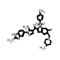 Cc1ccc(S(=O)(=O)n2c(C(=O)c3cnn(-c4ccc5[nH]c(C)nc5c4)c3N)cc3cc(CN4CCC(C)CC4)c(F)cc32)cc1